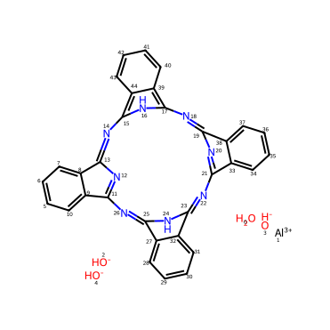 O.[Al+3].[OH-].[OH-].[OH-].c1ccc2c(c1)-c1nc-2nc2[nH]c(nc3nc(nc4[nH]c(n1)c1ccccc41)-c1ccccc1-3)c1ccccc21